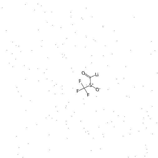 [Li][C](=O)[S+]([O-])C(F)(F)F